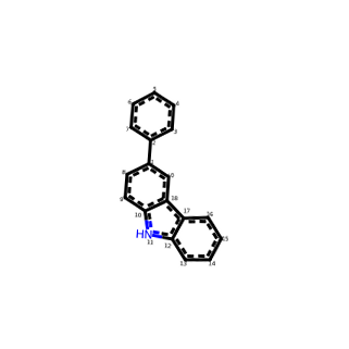 [c]1c(-c2ccccc2)ccc2[nH]c3ccccc3c12